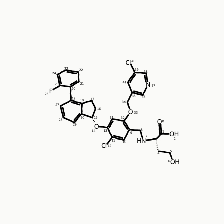 O=C(O)[C@H](CCO)NCc1cc(Cl)c(O[C@H]2CCc3c(-c4ccccc4F)cccc32)cc1OCc1cncc(Cl)c1